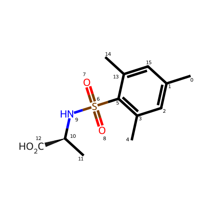 Cc1cc(C)c(S(=O)(=O)N[C@@H](C)C(=O)O)c(C)c1